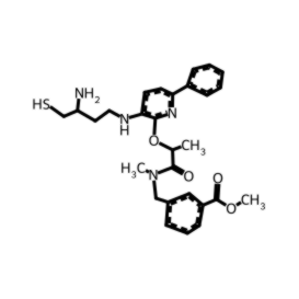 COC(=O)c1cccc(CN(C)C(=O)C(C)Oc2nc(-c3ccccc3)ccc2NCCC(N)CS)c1